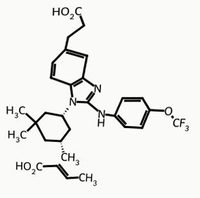 C/C=C/C(=O)O.C[C@H]1C[C@@H](n2c(Nc3ccc(OC(F)(F)F)cc3)nc3cc(CCC(=O)O)ccc32)CC(C)(C)C1